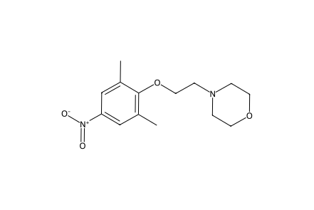 Cc1cc([N+](=O)[O-])cc(C)c1OCCN1CCOCC1